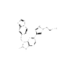 CN1Nc2ncc(-c3cnn(CCO)c3)nc2N1Cc1ccn2ncnc2c1